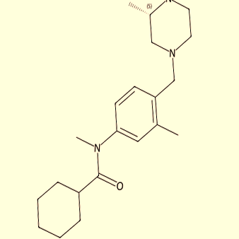 Cc1cc(N(C)C(=O)C2CCCCC2)ccc1CN1CCN[C@@H](C)C1